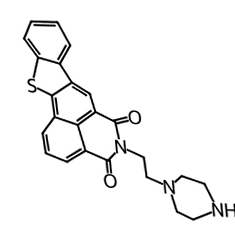 O=C1c2cccc3c2c(cc2c4ccccc4sc32)C(=O)N1CCN1CCNCC1